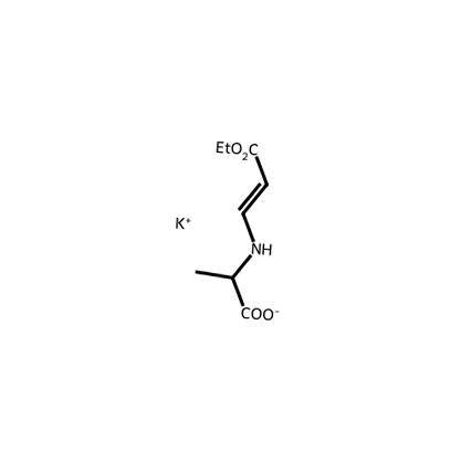 CCOC(=O)C=CNC(C)C(=O)[O-].[K+]